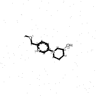 COCc1ccc(N2C[CH]C[C@@H](O)C2)cn1